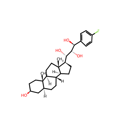 C[C@]12CC[C@H](O)C[C@@H]1CC[C@@H]1[C@@H]2CC[C@]2(C)[C@@H]([C@H](O)[C@@H](O)[C@@H](O)c3ccc(F)cc3)CC[C@@H]12